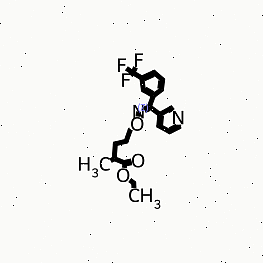 CCOC(=O)C(C)CCCO/N=C(\c1cccnc1)c1cccc(C(F)(F)F)c1